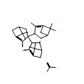 CC1=C2CC(CC1C1(C3C(C)=C4CC(C3O)C4(C)C)CC3CC(=C1C)C3(C)C)C2(C)C.NC(N)=O